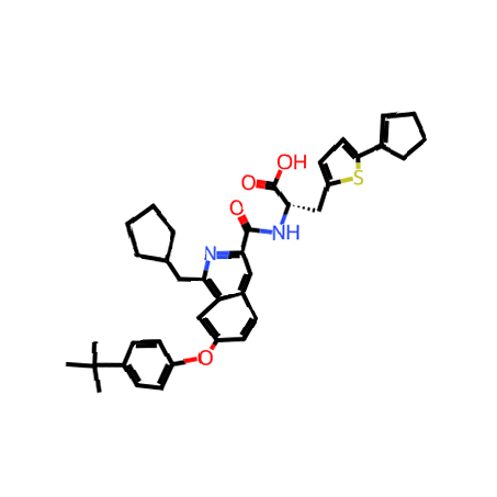 CC(C)(C)c1ccc(Oc2ccc3cc(C(=O)N[C@@H](Cc4ccc(C5=CCCC5)s4)C(=O)O)nc(CC4CCCC4)c3c2)cc1